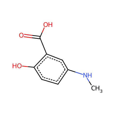 CNc1ccc(O)c(C(=O)O)c1